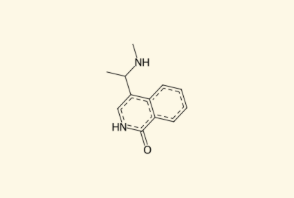 CNC(C)c1c[nH]c(=O)c2ccccc12